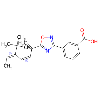 C=C(/C=C\C(=C/C)C(C)(C)C)c1nc(-c2cccc(C(=O)O)c2)no1